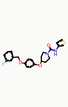 O=C(Nc1ccsc1)N1CCC(Oc2ccc(OCc3cccc(F)c3)cc2)CC1